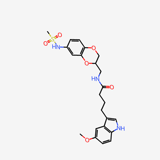 COc1ccc2[nH]cc(CCCC(=O)NCC3COc4ccc(NS(C)(=O)=O)cc4O3)c2c1